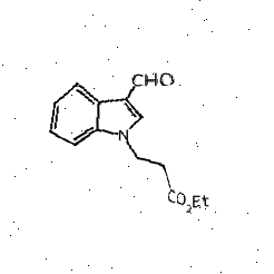 CCOC(=O)CCn1cc(C=O)c2ccccc21